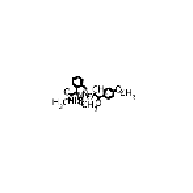 CNC(=O)C(=NOC)c1ccccc1C=NOC(C)C(=O)c1ccc(OC)cc1